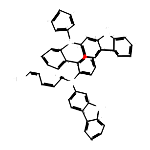 C=C(/C=C\C=C/C)N(c1ccc2c(c1)oc1ccccc12)c1ccccc1-c1ccccc1N(c1ccccc1)c1ccc2c(c1)oc1ccccc12